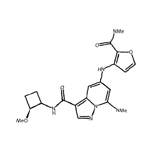 CNC(=O)c1occc1Nc1cc(NC)n2ncc(C(=O)NC3CC[C@@H]3OC)c2c1